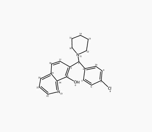 Oc1c(C(c2ccc(Cl)cc2)N2CCCCC2)ccc2cccnc12